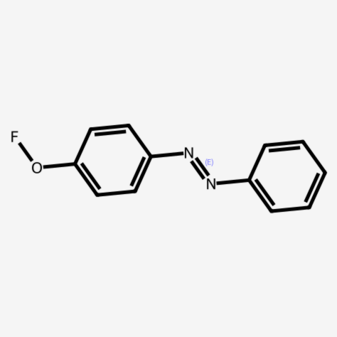 FOc1ccc(/N=N/c2ccccc2)cc1